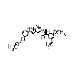 COCCOc1cccc(-c2cc3cc(NC(=O)c4cc(OC)cc(OC)c4)cnc3[nH]2)c1